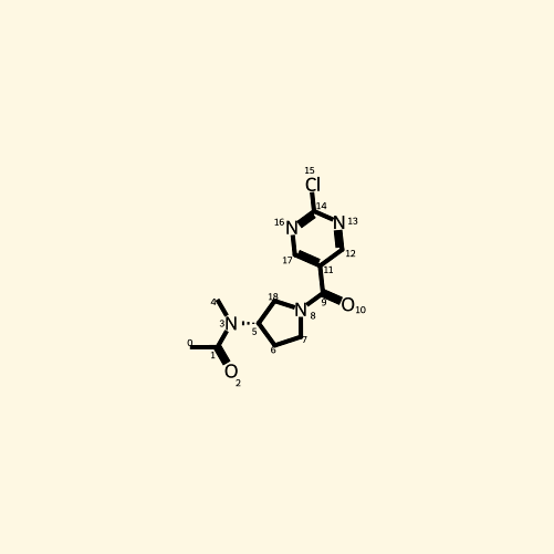 CC(=O)N(C)[C@H]1CCN(C(=O)c2cnc(Cl)nc2)C1